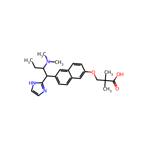 CCC(C(c1ccc2cc(OCC(C)(C)C(=O)O)ccc2c1)c1ncc[nH]1)N(C)C